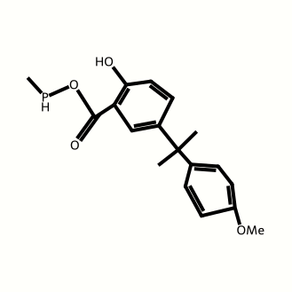 COc1ccc(C(C)(C)c2ccc(O)c(C(=O)OPC)c2)cc1